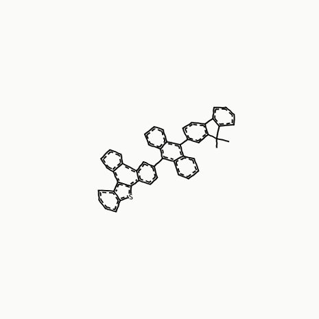 CC1(C)c2ccccc2-c2ccc(-c3c4ccccc4c(-c4ccc5c(c4)c4ccccc4c4c6ccccc6sc54)c4ccccc34)cc21